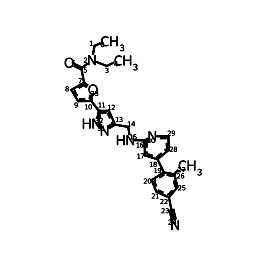 CCN(CC)C(=O)c1ccc(-c2cc(CNc3cc(-c4ccc(C#N)cc4C)ccn3)n[nH]2)o1